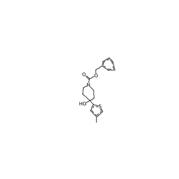 Cc1csc(C2(O)CCN(C(=O)OCc3ccccc3)CC2)c1